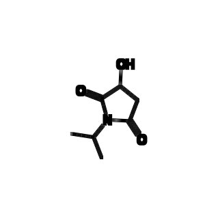 CC(C)N1C(=O)CC(O)C1=O